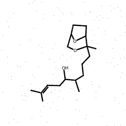 CC(C)=CCC(O)C(C)CCCC1(C)OCC2CCC1O2